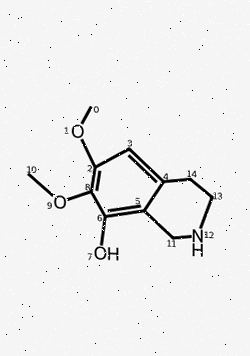 COc1cc2c(c(O)c1OC)CNCC2